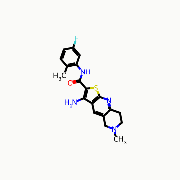 Cc1ccc(F)cc1NC(=O)c1sc2nc3c(cc2c1N)CN(C)CC3